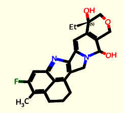 CC[C@@]1(O)COCC2=C1C=C1c3nc4cc(F)c(C)c5c4c(c3CN1C2O)CCC5